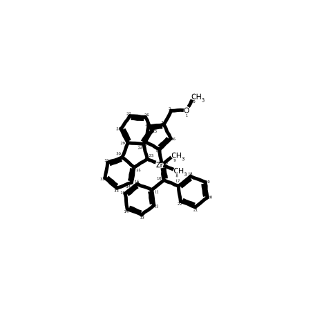 COCC1=CC[C]([Zr]([CH3])([CH3])(=[C](c2ccccc2)c2ccccc2)[CH]2c3ccccc3-c3ccccc32)=C1